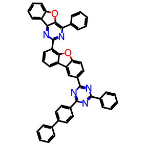 c1ccc(-c2ccc(-c3nc(-c4ccccc4)nc(-c4ccc5oc6c(-c7nc(-c8ccccc8)c8oc9ccccc9c8n7)cccc6c5c4)n3)cc2)cc1